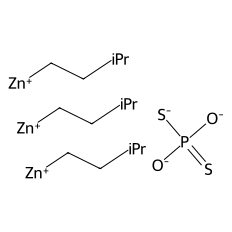 CC(C)C[CH2][Zn+].CC(C)C[CH2][Zn+].CC(C)C[CH2][Zn+].[O-]P([O-])(=S)[S-]